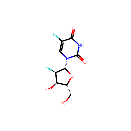 O=c1[nH]c(=O)n([C@@H]2O[C@H](CO)[C@@H](O)[C@H]2F)cc1F